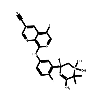 CC1(C)C(N)=N[C@](C)(c2cc(Nc3ncc(F)c4cc(C#N)cnc34)ccc2F)CS1(O)O